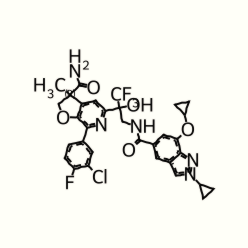 C[C@]1(C(N)=O)COc2c1cc(C(O)(CNC(=O)c1cc(OC3CC3)c3nn(C4CC4)cc3c1)C(F)(F)F)nc2-c1ccc(F)c(Cl)c1